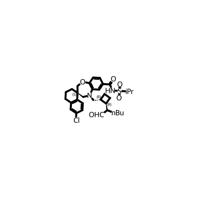 CCCCC(C=O)[C@@H]1CC[C@H]1CN1C[C@@]2(CCCc3cc(Cl)ccc32)COc2ccc(C(=O)NS(=O)(=O)C(C)C)cc21